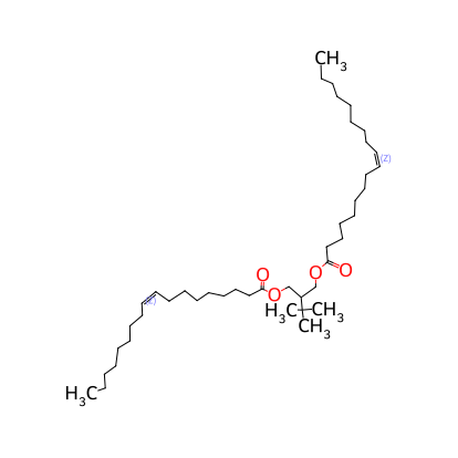 CCCCCCCC/C=C\CCCCCCCC(=O)OCC(COC(=O)CCCCCCC/C=C\CCCCCCCC)C(C)(C)C